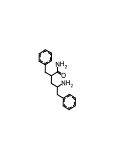 N[C](Cc1ccccc1)CC(Cc1ccccc1)C(N)=O